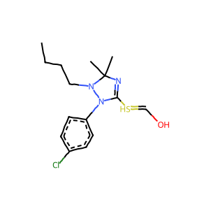 CCCCN1N(c2ccc(Cl)cc2)C([SH]=CO)=NC1(C)C